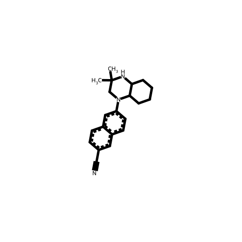 CC1(C)CN(c2ccc3cc(C#N)ccc3c2)C2CCCCC2N1